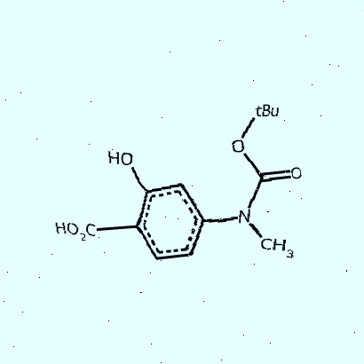 CN(C(=O)OC(C)(C)C)c1ccc(C(=O)O)c(O)c1